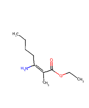 CCCCC(N)=C(C)C(=O)OCC